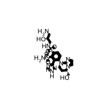 NC[C@@H](O)CNS(=O)(=O)c1ccc(N2CC[C@@H](CO)n3ccnc32)c(-c2nn[nH]n2)c1S(N)(=O)=O